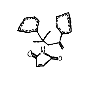 C=C(CC(C)(C)c1ccccc1)c1ccccc1.O=C1C=CC(=O)N1